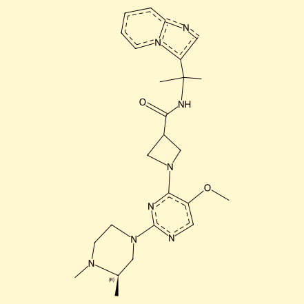 COc1cnc(N2CCN(C)[C@H](C)C2)nc1N1CC(C(=O)NC(C)(C)c2cnc3ccccn23)C1